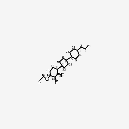 CCCC1CCC(C2CCC(C3CCC(OCC)C(F)C3F)CC2)CC1